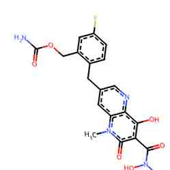 CCN(O)C(=O)c1c(O)c2ncc(Cc3ccc(F)cc3COC(N)=O)cc2n(C)c1=O